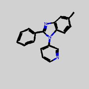 Cc1ccc2c(c1)nc(-c1ccccc1)n2-c1cccnc1